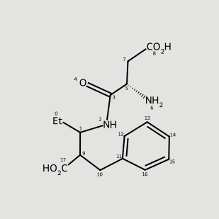 CCC(NC(=O)[C@@H](N)CC(=O)O)C(Cc1ccccc1)C(=O)O